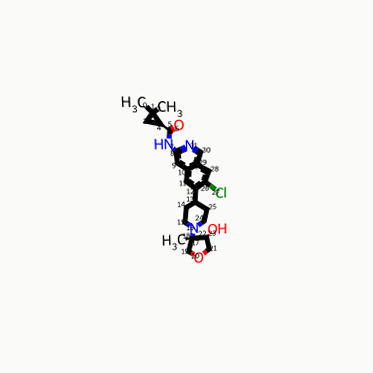 CC1(C)C[C@@H]1C(=O)Nc1cc2cc(C3CCN([C@@]4(C)COC[C@H]4O)CC3)c(Cl)cc2cn1